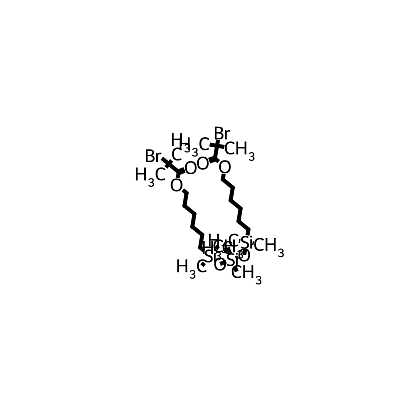 CC(C)(Br)C(=O)OCCCCCC[Si](C)(C)O[Si](C)(C)O[Si](C)(C)CCCCCCOC(=O)C(C)(C)Br